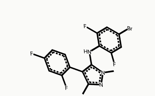 Cc1nn(C)c(Nc2c(F)cc(Br)cc2F)c1-c1ccc(F)cc1F